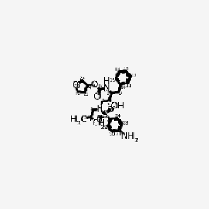 CC(C)CN(CC(O)C(Cc1ccccc1)NC(=O)O[C@H]1CCOC1)S(=O)(=O)c1ccc(N)cc1